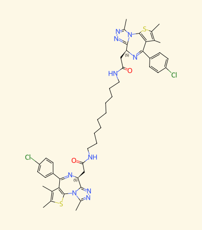 Cc1sc2c(c1C)C(c1ccc(Cl)cc1)=N[C@@H](CC(=O)NCCCCCCCCCCNC(=O)C[C@@H]1N=C(c3ccc(Cl)cc3)c3c(sc(C)c3C)-n3c(C)nnc31)c1nnc(C)n1-2